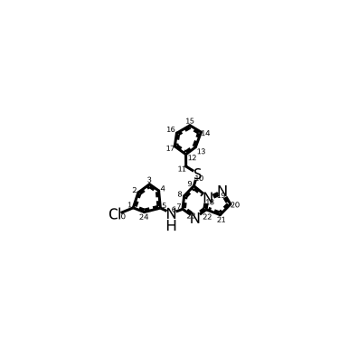 Clc1cccc(Nc2cc(SCc3ccccc3)n3nccc3n2)c1